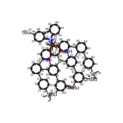 CC(C)(C)c1cc(-c2cc3c(c(-c4c(-c5ccc([Si](C)(C)C)cc5)cccc4-c4ccc([Si](C)(C)C)cc4)c2)Nc2cc(-n4c5ccccc5c5cc(C(C)(C)C)ccc54)cc4c2B3c2cc(-c3cc(C(C)(C)C)cc(C(C)(C)C)c3)cc(-c3c(-c5ccc([Si](C)(C)C)cc5)cccc3-c3ccc([Si](C)(C)C)cc3)c2N4)cc(C(C)(C)C)c1